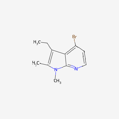 CCc1c(C)n(C)c2nccc(Br)c12